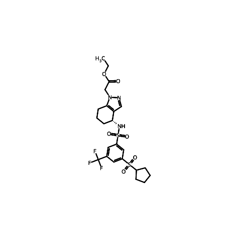 CCOC(=O)Cn1ncc2c1CCC[C@H]2NS(=O)(=O)c1cc(C(F)(F)F)cc(S(=O)(=O)C2CCCC2)c1